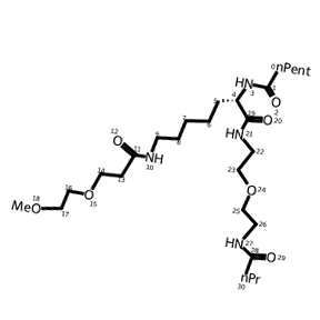 CCCCCC(=O)N[C@@H](CCCCCNC(=O)CCOCCOC)C(=O)NCCOCCNC(=O)CCC